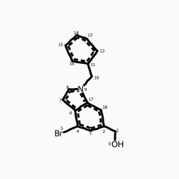 OCc1cc(Br)c2ccn(Cc3ccccc3)c2c1